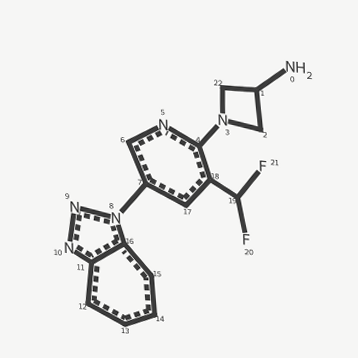 NC1CN(c2ncc(-n3nnc4ccccc43)cc2C(F)F)C1